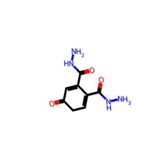 NNC(=O)C1=CCC(=O)C=C1C(=O)NN